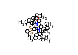 Cc1cc2c(cc1N1c3cc4c(cc3B3c5c(cc(-c6c(C)cccc6C)cc51)-c1ccc5c(c1N3c1ccc(C(C)(C)C)cc1-c1ccccc1)-c1ccccc1C5(C)C)Sc1ccccc1S4)C(C)(C)CCC2(C)C